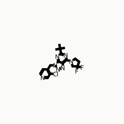 CC(C)(C)c1nc(N2CCC(F)(F)C2)c2nnn(Cc3ccncc3Cl)c2n1